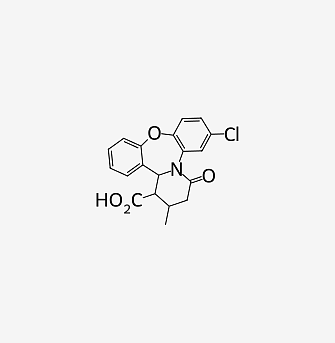 CC1CC(=O)N2c3cc(Cl)ccc3Oc3ccccc3C2C1C(=O)O